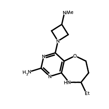 CCC1CCOc2c(nc(N)nc2N2CC(NC)C2)N1